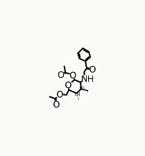 CC(=O)OCC1OC(OC(C)=O)C(NCC(=O)c2ccccc2)[C@@H](C)[C@@H]1C